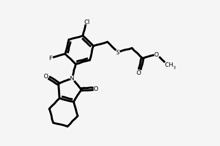 COC(=O)CSCc1cc(N2C(=O)C3=C(CCCC3)C2=O)c(F)cc1Cl